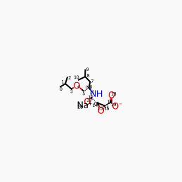 CC(C)COC[C@H](CC(C)C)NC(=O)[C@H]1O[C@@H]1C(=O)[O-].[Na+]